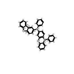 c1ccc(N(c2ccc3c(c2)Oc2ccccc2N3c2ccccc2)c2ccc3oc4ccccc4c3c2)cc1